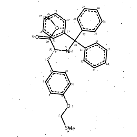 CSCOc1ccc(C[C@@H](NC(c2ccccc2)(c2ccccc2)c2ccccc2)C(=O)OC(C)(C)C)cc1